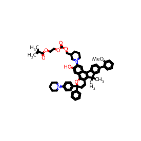 C=C(C)C(=O)OCCOC(=O)OCC1CCCN(c2cc3c4c(c5c(c3cc2O)OC(c2ccccc2)(c2ccc(N3CCCCC3)cc2)C=C5)C(C)(C)c2cc(-c3ccccc3OC)ccc2-4)C1